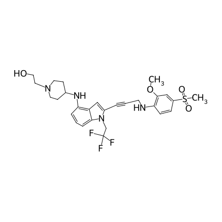 COc1cc(S(C)(=O)=O)ccc1NCC#Cc1cc2c(NC3CCN(CCO)CC3)cccc2n1CC(F)(F)F